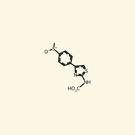 C[S+]([O-])c1ccc(-c2csc(NC(=O)O)n2)cc1